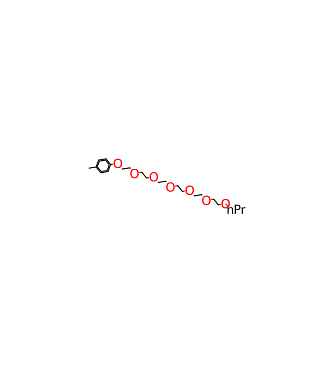 CCCOCCOCCOCCOCCOCCOCCOc1ccc(C)cc1